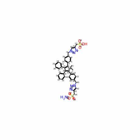 C[Si]1(C)C(c2ccc(Cn3cc(CS(=O)(=O)O)nn3)cc2)=C(c2ccccc2)C(c2ccccc2)=C1c1ccc(Cn2cc(CS(=O)(=O)ON)nn2)cc1